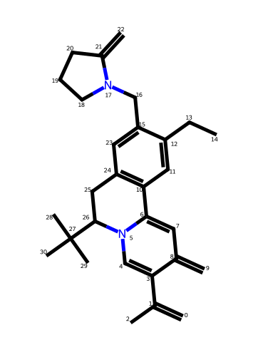 C=C(C)C1=CN2C(=CC1=C)c1cc(CC)c(CN3CCCC3=C)cc1CC2C(C)(C)C